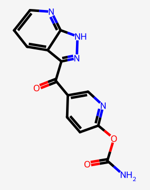 NC(=O)Oc1ccc(C(=O)c2n[nH]c3ncccc23)cn1